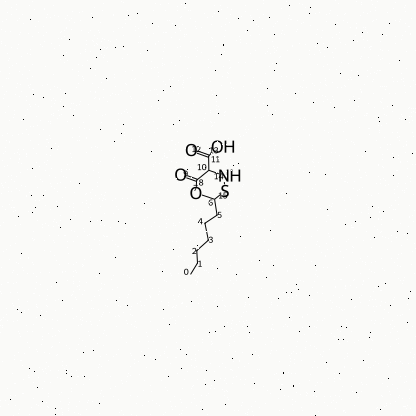 CCCCCCC1OC(=O)C(C(=O)O)NS1